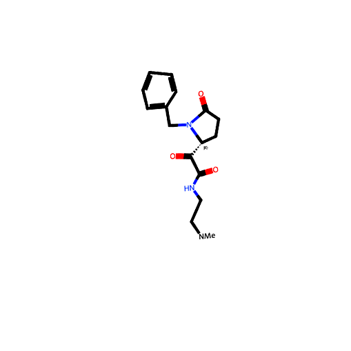 CNCCNC(=O)C(=O)[C@H]1CCC(=O)N1Cc1ccccc1